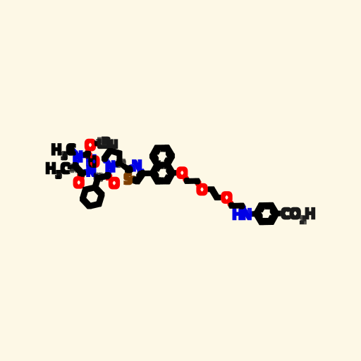 C[C@@H](C(=O)N[C@H](C(=O)N1CCC[C@H]1c1nc(-c2ccc(OCCOCCOCCNc3ccc(C(=O)O)cc3)c3ccccc23)cs1)C1CCCCC1)N(C)C(=O)OC(C)(C)C